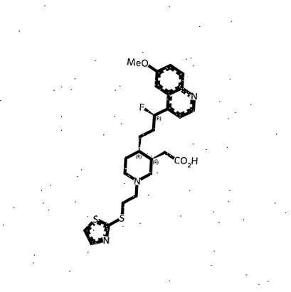 COc1ccc2nccc([C@H](F)CC[C@@H]3CCN(CCSc4nccs4)C[C@@H]3CC(=O)O)c2c1